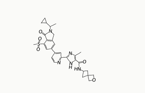 Cc1nc(-c2cc(-c3cc4c(c(S(C)(=O)=O)c3)C(=O)N(C(C)C3CC3)C4)ccn2)[nH]c1C(=O)NC1CC2(COC2)C1